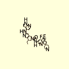 CCC1CN(C(=O)Nc2cnc(OC3CCN(C)CC3)c(C(F)(F)F)c2)Cc2cc(Nc3ccnc4[nH]ccc34)ncc21